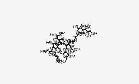 COCC1O[C@H](OCC2O[C@@H](O[C@H](C(O)CO)C(O)CNC(C)=O)C(O)C(O[C@@H](OCCO)C(CO)OC)[C@@H]2O)C(O[C@@H]2OC(CO)[C@@H](OCOCCO[C@]3(C(=O)O)CC(O)[C@@H](NC(C)=O)C([C@H](O)[C@H](O)CO)O3)C(O)C2NC(C)=O)C(O)[C@@H]1O